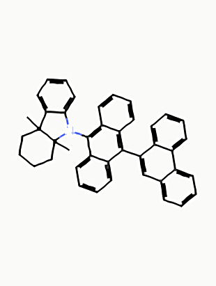 CC12CCCCC1(C)N(c1c3ccccc3c(-c3cc4ccccc4c4ccccc34)c3ccccc13)c1ccccc12